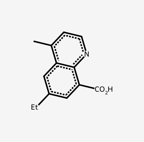 CCc1cc(C(=O)O)c2nccc(C)c2c1